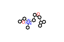 c1ccc(-c2nc(-c3cccc(-c4cccc5oc6ccc(-c7cc8ccccc8c8ccccc78)cc6c45)c3)nc(-c3cccc4c3oc3ccccc34)n2)cc1